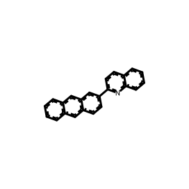 c1ccc2cc3cc(-c4ccc5ccccc5n4)ccc3cc2c1